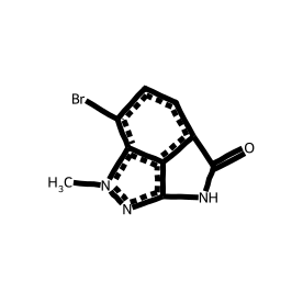 Cn1nc2c3c(ccc(Br)c31)C(=O)N2